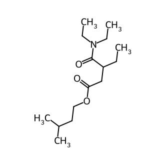 CCC(CC(=O)OCCC(C)C)C(=O)N(CC)CC